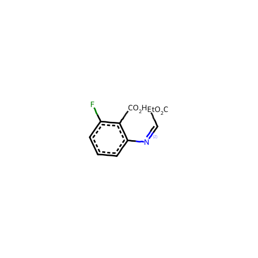 CCOC(=O)/C=N\c1cccc(F)c1C(=O)O